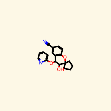 N#Cc1ccc2c(c1)C(Oc1ccccn1)C(O)C1(CCCC1)O2